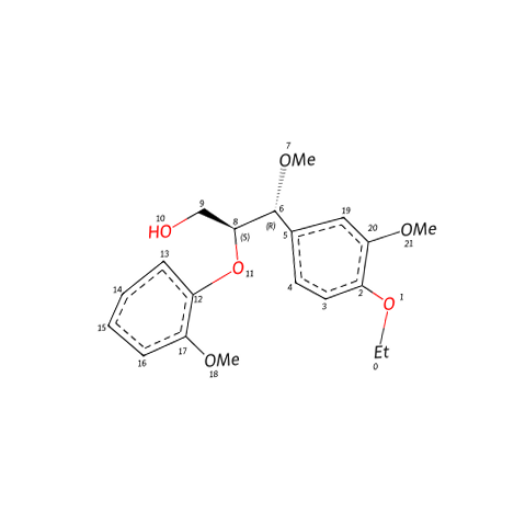 CCOc1ccc([C@@H](OC)[C@H](CO)Oc2ccccc2OC)cc1OC